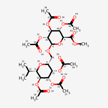 COC(=O)[C@H]1O[C@@H](OC[C@H]2O[C@@H](C(C)C)[C@H](OC(C)=O)[C@@H](OC(C)=O)[C@H]2OC(C)=O)[C@H](OC(C)=O)[C@@H](OC(C)=O)[C@@H]1OC(C)=O